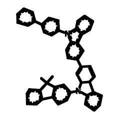 CC1(C)c2ccccc2-c2ccc(N3c4ccccc4C4C=CC(c5ccc6c(c5)c5ccccc5n6-c5ccc(-c6ccccc6)cc5)=CC43)cc21